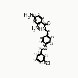 Nc1ccc(C(=O)NCc2ccc(OCc3cccc(Cl)c3)cc2)c(N)n1